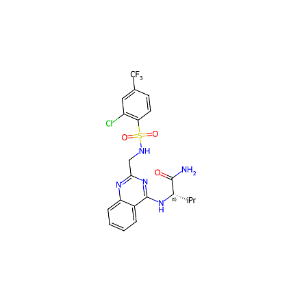 CC(C)[C@H](Nc1nc(CNS(=O)(=O)c2ccc(C(F)(F)F)cc2Cl)nc2ccccc12)C(N)=O